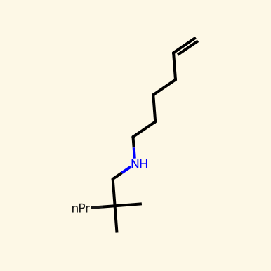 C=CCCCCNCC(C)(C)CCC